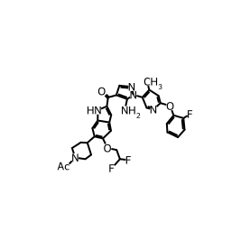 CC(=O)N1CCC(c2cc3[nH]c(C(=O)c4cnn(-c5cnc(Oc6ccccc6F)cc5C)c4N)cc3cc2OCC(F)F)CC1